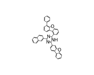 c1ccc(-c2cccc3c2oc2cccc(C4N=C(c5ccc6ccccc6c5)N=C(c5ccc6c(c5)oc5ccccc56)N4)c23)cc1